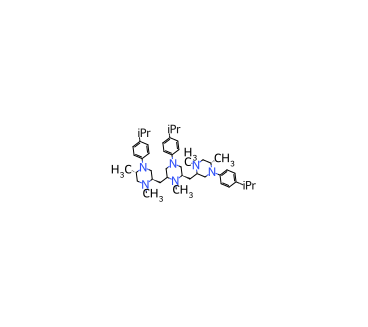 CC(C)c1ccc(N2CC(C[C@@H]3CN(c4ccc(C(C)C)cc4)[C@@H](C)CN3C)N(C)[C@H](CC3CN(c4ccc(C(C)C)cc4)[C@@H](C)CN3C)C2)cc1